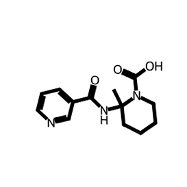 CC1(NC(=O)c2cccnc2)CCCCN1C(=O)O